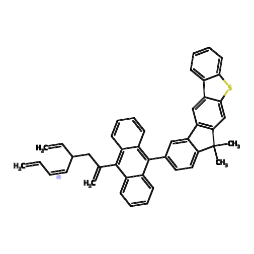 C=C/C=C\C(C=C)CC(=C)c1c2ccccc2c(-c2ccc3c(c2)-c2cc4c(cc2C3(C)C)sc2ccccc24)c2ccccc12